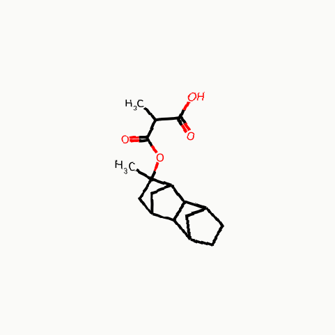 CC(C(=O)O)C(=O)OC1(C)CC2CC1C1C3CCC(C3)C21